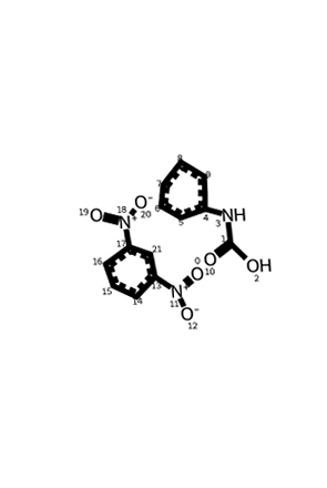 O=C(O)Nc1ccccc1.O=[N+]([O-])c1cccc([N+](=O)[O-])c1